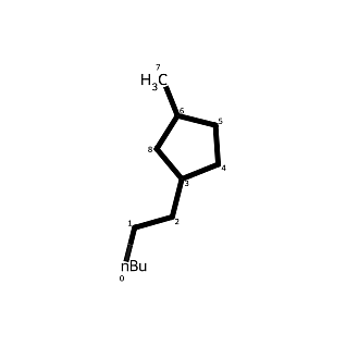 CCCCCCC1CCC(C)C1